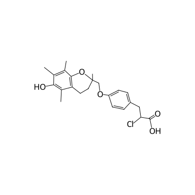 Cc1c(C)c2c(c(C)c1O)CCC(C)(COc1ccc(CC(Cl)C(=O)O)cc1)O2